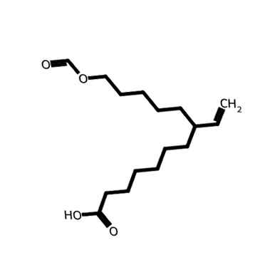 C=CC(CCCCCCC(=O)O)CCCCCOC=O